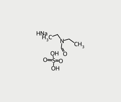 CCN(C=O)CC.O=S(=O)(O)O.[NaH]